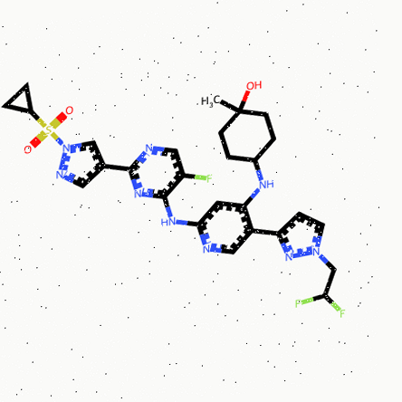 CC1(O)CCC(Nc2cc(Nc3nc(-c4cnn(S(=O)(=O)C5CC5)c4)ncc3F)ncc2-c2ccn(CC(F)F)n2)CC1